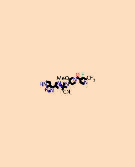 CO[C@@H]1CN(C(=O)c2ccnc(C(F)(F)F)c2F)CC[C@@H]1N1CC(CC#N)(n2cc(-c3ncnc4[nH]ccc34)cn2)C1